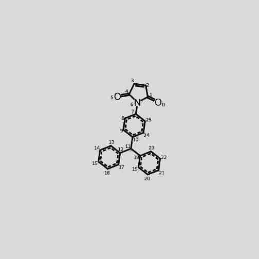 O=C1C=CC(=O)N1c1ccc([C](c2ccccc2)c2ccccc2)cc1